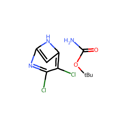 CC(C)(C)OC(N)=O.Clc1nc2cc(c1Cl)N2